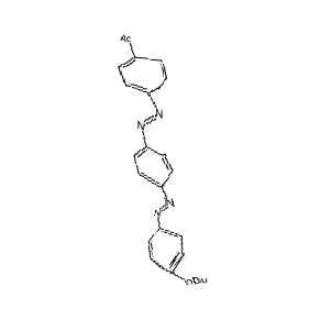 CCCCc1ccc(N=Nc2ccc(N=Nc3ccc(C(C)=O)cc3)cc2)cc1